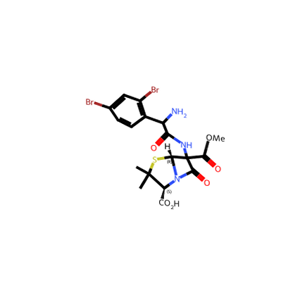 COC(=O)C1(NC(=O)C(N)c2ccc(Br)cc2Br)C(=O)N2[C@@H](C(=O)O)C(C)(C)S[C@@H]21